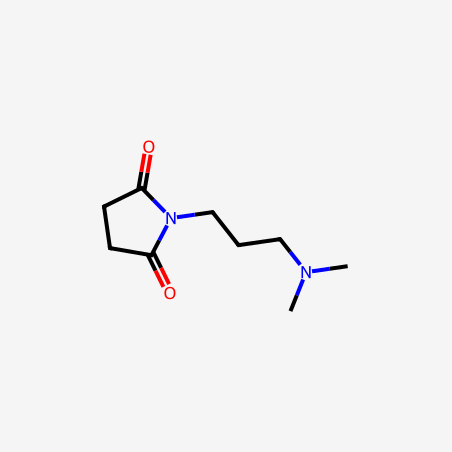 CN(C)CCCN1C(=O)CCC1=O